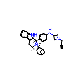 C#CCN1CC(Nc2ccc([C@@H]3c4[nH]c5ccccc5c4C[C@@H](C)N3[C@@H]3CCC4CC3C4)cc2)C1